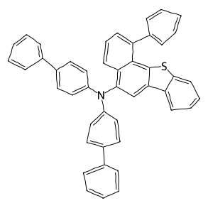 c1ccc(-c2ccc(N(c3ccc(-c4ccccc4)cc3)c3cc4c5ccccc5sc4c4c(-c5ccccc5)cccc34)cc2)cc1